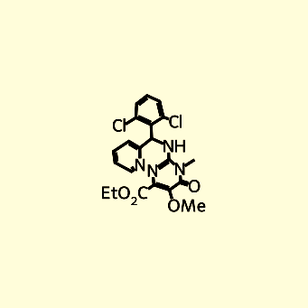 CCOC(=O)c1nc(NC(c2ccccn2)c2c(Cl)cccc2Cl)n(C)c(=O)c1OC